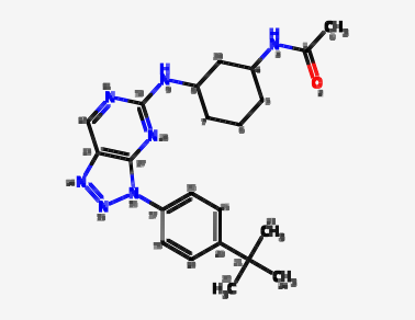 CC(=O)NC1CCCC(Nc2ncc3nnn(-c4ccc(C(C)(C)C)cc4)c3n2)C1